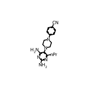 CCCc1nc(N)nc(N)c1N1CCN(c2ccc(C#N)cc2)CC1